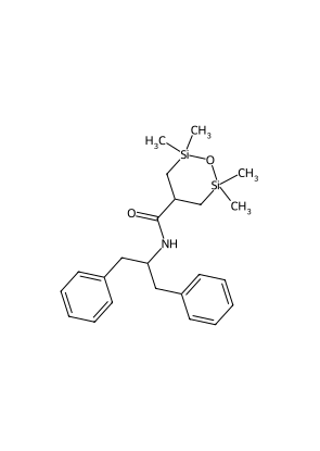 C[Si]1(C)CC(C(=O)NC(Cc2ccccc2)Cc2ccccc2)C[Si](C)(C)O1